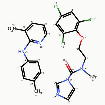 CCCN(CCOc1c(Cl)cc(Cl)cc1Cl)C(=O)n1ccnc1.Cc1ccc(Nc2ncccc2[N+](=O)[O-])cc1